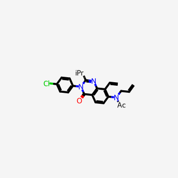 C=CCN(C(C)=O)c1ccc2c(=O)n(-c3ccc(Cl)cc3)c(C(C)C)nc2c1C=C